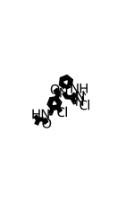 CC(C)C(=O)NCc1ccc(C(=O)N2CC3=C(Nc4ccccc42)N(C)N(Cl)C3)cc1Cl